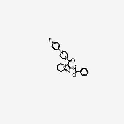 CN(C(=O)c1ccccc1)c1nc2n(c1C(=O)N1CCN(c3ccc(F)cc3)CC1)CCCC2